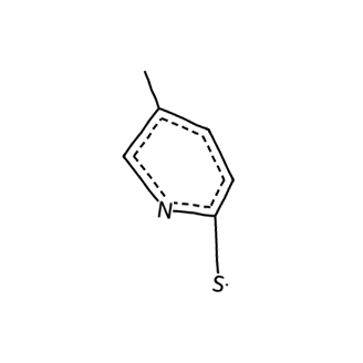 Cc1ccc([S])nc1